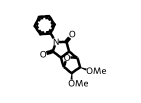 CO[C@@H]1C2OC(C3C(=O)N(c4ccccc4)C(=O)C32)[C@@H]1OC